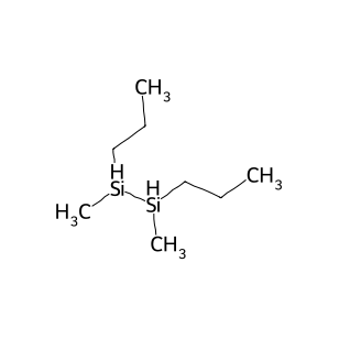 CCC[SiH](C)[SiH](C)CCC